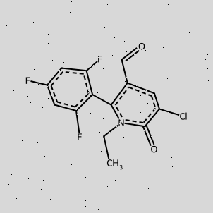 CCn1c(-c2c(F)cc(F)cc2F)c(C=O)cc(Cl)c1=O